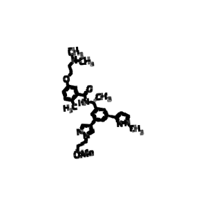 COCCn1cc(-c2cc(-c3ccn(C)n3)cc([C@@H](C)NC(=O)c3cc(OCCN(C)C)ccc3C)c2)cn1